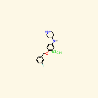 CN(c1ccc(OCc2cccc(F)c2)cc1)C1CCNCC1.Cl.Cl